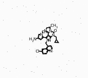 C[C@@H]1CN=C2c3c(nn(Cc4ccnc5ccc(Cl)cc45)c3-c3cc(N)cn3C)N(CC3CC3)C(=O)N21